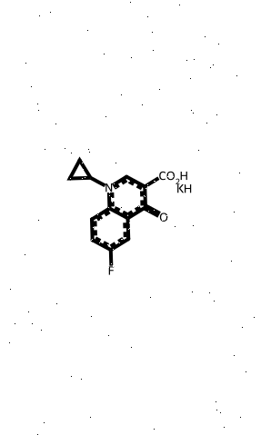 O=C(O)c1cn(C2CC2)c2ccc(F)cc2c1=O.[KH]